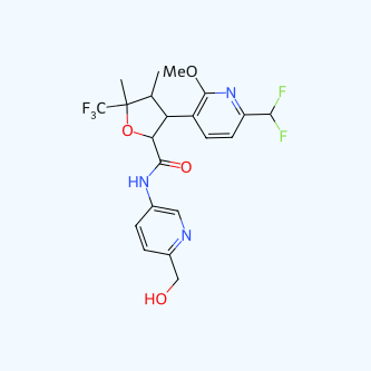 COc1nc(C(F)F)ccc1C1C(C(=O)Nc2ccc(CO)nc2)OC(C)(C(F)(F)F)C1C